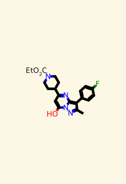 CCOC(=O)N1CCC(c2cc(O)n3nc(C)c(-c4ccc(F)cc4)c3n2)CC1